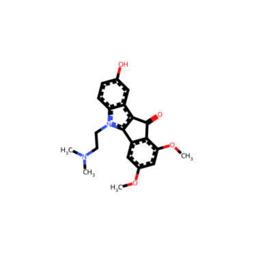 COc1cc(OC)c2c(c1)-c1c(c3cc(O)ccc3n1CCN(C)C)C2=O